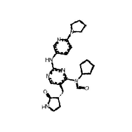 O=CN(c1nc(Nc2ccc(N3CCCC3)nc2)ncc1C[C@@H]1CCNC1=O)C1CCCC1